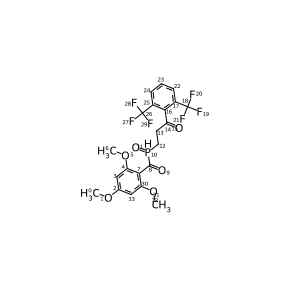 COc1cc(OC)c(C(=O)[PH](=O)CCC(=O)c2c(C(F)(F)F)cccc2C(F)(F)F)c(OC)c1